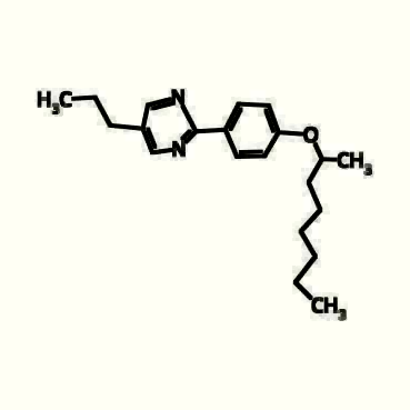 CCCCCCC(C)Oc1ccc(-c2ncc(CCC)cn2)cc1